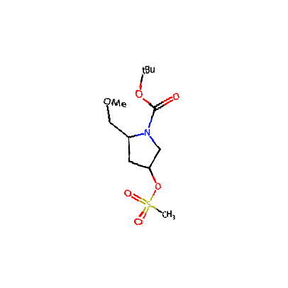 COCC1CC(OS(C)(=O)=O)CN1C(=O)OC(C)(C)C